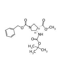 COC(=O)[C@H]1CN(C(=O)OCc2ccccc2)C[C@H]1NC(=O)OC(C)(C)C